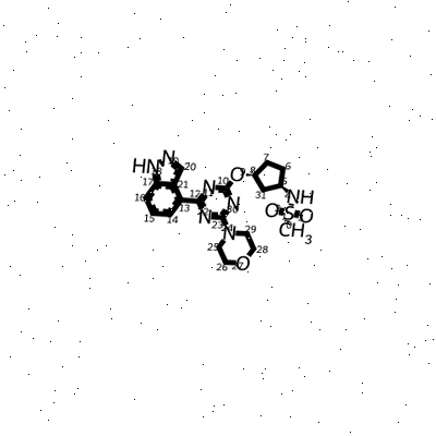 CS(=O)(=O)N[C@@H]1CC[C@@H](Oc2nc(-c3cccc4[nH]ncc34)nc(N3CCOCC3)n2)C1